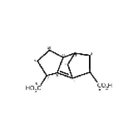 O=C(O)C1CC2CC1=C1C(C(=O)O)CCC12